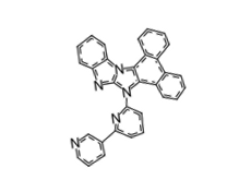 c1cncc(-c2cccc(-n3c4c5ccccc5c5ccccc5c4n4c5ccccc5nc34)n2)c1